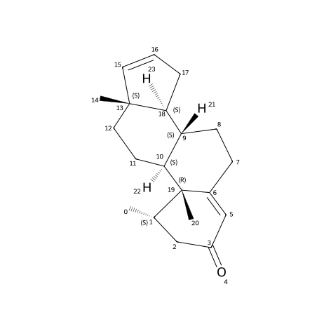 C[C@H]1CC(=O)C=C2CC[C@@H]3[C@H](CC[C@]4(C)C=CC[C@@H]34)[C@]21C